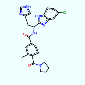 Cc1cc(C(=O)NC(Cc2c[nH]cn2)c2nc3cc(Cl)ccc3[nH]2)ccc1C(=O)N1CCCC1